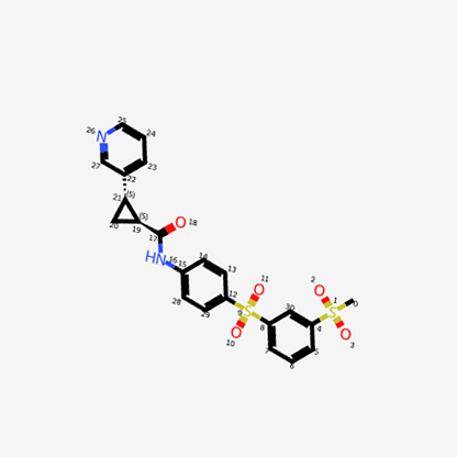 CS(=O)(=O)c1cccc(S(=O)(=O)c2ccc(NC(=O)[C@H]3C[C@@H]3c3cccnc3)cc2)c1